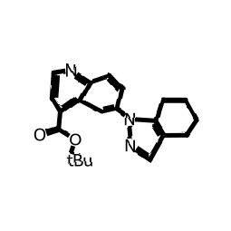 CC(C)(C)OC(=O)c1ccnc2ccc(-n3ncc4c3CCCC4)cc12